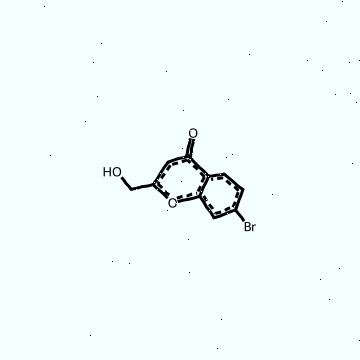 O=c1cc(CO)oc2cc(Br)ccc12